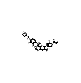 C=CC(=O)N1C[C@@H]2C[C@H]1CN2c1nc2c(Nc3ccc(OC[C@H]4CCOC4)c(F)c3F)ncnc2cc1F